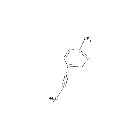 [CH2]C#Cc1ccc(C(F)(F)F)cc1